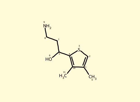 Cc1csc(C(O)CCN)c1C